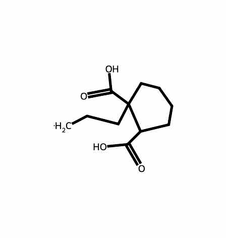 [CH2]CCC1(C(=O)O)CCCCC1C(=O)O